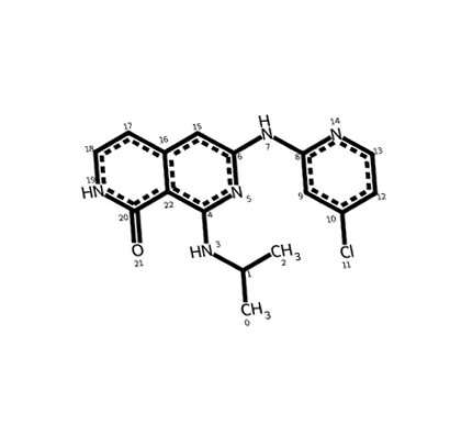 CC(C)Nc1nc(Nc2cc(Cl)ccn2)cc2cc[nH]c(=O)c12